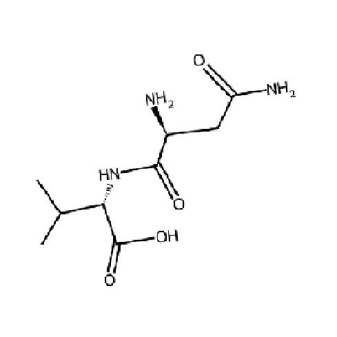 CC(C)[C@H](NC(=O)[C@@H](N)CC(N)=O)C(=O)O